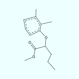 CCCC(Oc1cccc(C)c1C)C(=O)OC